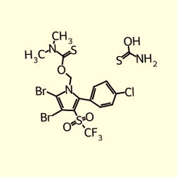 CN(C)C(=S)OCn1c(Br)c(Br)c(S(=O)(=O)C(F)(F)F)c1-c1ccc(Cl)cc1.NC(O)=S